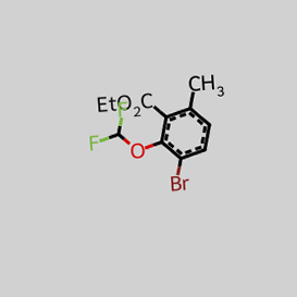 CCOC(=O)c1c(C)ccc(Br)c1OC(F)F